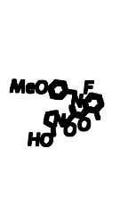 COc1ccc(Cn2cc(C(=O)N3CCCC3CO)c(=O)c3c(C)ccc(F)c32)cc1